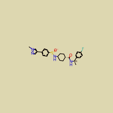 C[C@@H](NC(=O)[C@H]1CC[C@H](N[S+]([O-])c2ccc(-c3cnn(C)c3)cc2)CC1)c1ccc(F)cc1